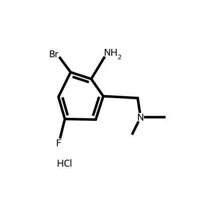 CN(C)Cc1cc(F)cc(Br)c1N.Cl